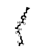 C=C(CCNC(=O)c1ccc(CCC2CC2)cn1)NC(=O)CO/C=C/C=C(/F)C(=C)F